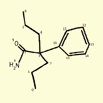 CCCC(CCC)(C(N)=O)c1ccccc1